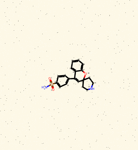 NS(=O)(=O)c1ccc(C2=CC3(CCNCC3)Oc3ccccc32)cc1